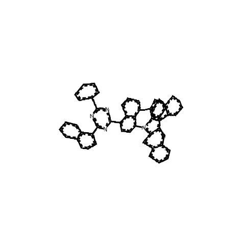 c1ccc(-c2nc(-c3cccc4ccccc34)nc(-c3ccc(-n4c5cc6ccccc6cc5c5c6ccccc6ccc54)c4c(-c5ccccc5)cccc34)n2)cc1